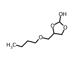 CCCCOCC1COC(O)O1